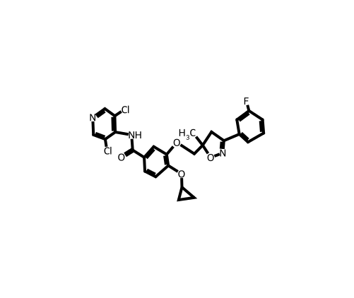 CC1(COc2cc(C(=O)Nc3c(Cl)cncc3Cl)ccc2OC2CC2)CC(c2cccc(F)c2)=NO1